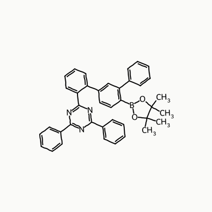 CC1(C)OB(c2ccc(-c3ccccc3-c3nc(-c4ccccc4)nc(-c4ccccc4)n3)cc2-c2ccccc2)OC1(C)C